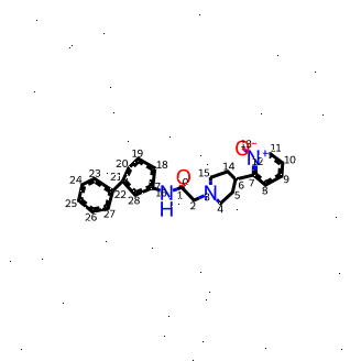 O=C(CN1CCC(c2cccc[n+]2[O-])CC1)Nc1cccc(-c2ccccc2)c1